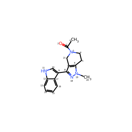 CC(=O)N1CCc2c(c(-c3c[nH]c4ccccc34)nn2C)C1